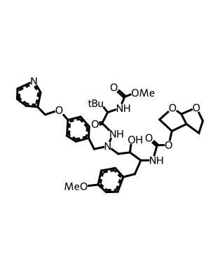 COC(=O)NC(C(=O)NN(Cc1ccc(OCc2cccnc2)cc1)CC(O)C(Cc1ccc(OC)cc1)NC(=O)OC1COC2OCCC12)C(C)(C)C